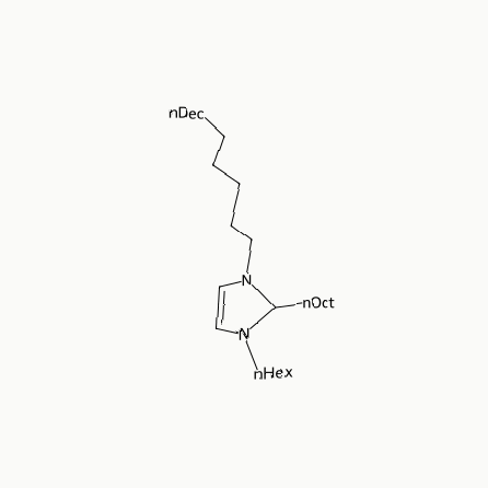 CCCCCCCCCCCCCCCN1C=CN(CCCCCC)C1CCCCCCCC